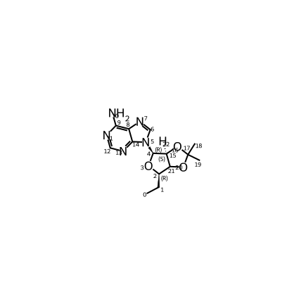 CC[C@H]1O[C@@H](n2cnc3c(N)ncnc32)[C@H]2OC(C)(C)OC12